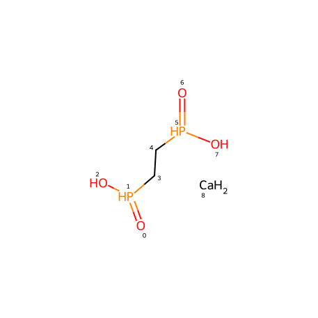 O=[PH](O)CC[PH](=O)O.[CaH2]